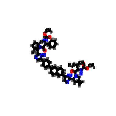 COC(=O)NC(C(=O)N1CC2(CC2)C[C@H]1c1ncc(-c2ccc3cc(-c4ccc(-c5cnc([C@@H]6[C@H]7CC[C@H](C7)N6C(=O)[C@@H](NC(=O)OC)c6ccccc6)[nH]5)cc4)ccc3c2)[nH]1)C(C)C